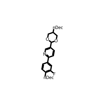 CCCCCCCCCCc1ccc(-c2ccc(C3OCC(CCCCCCCCCC)CO3)cn2)cc1F